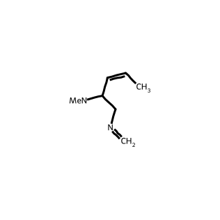 C=NCC(/C=C\C)NC